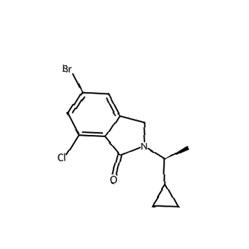 C[C@@H](C1CC1)N1Cc2cc(Br)cc(Cl)c2C1=O